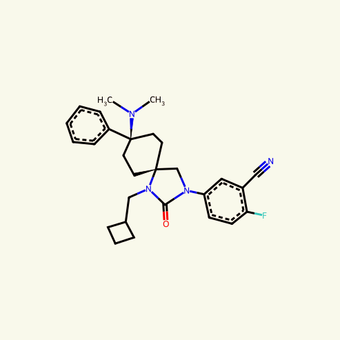 CN(C)[C@]1(c2ccccc2)CC[C@@]2(CC1)CN(c1ccc(F)c(C#N)c1)C(=O)N2CC1CCC1